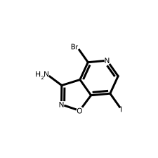 Nc1noc2c(I)cnc(Br)c12